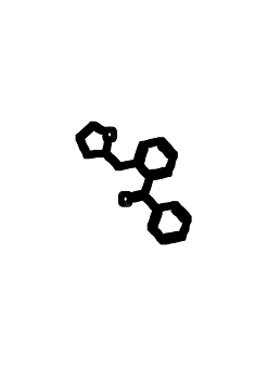 O=C(c1ccccc1)c1ccccc1CC1CCCO1